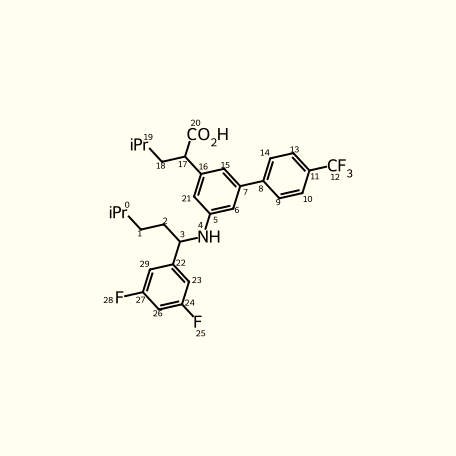 CC(C)CCC(Nc1cc(-c2ccc(C(F)(F)F)cc2)cc(C(CC(C)C)C(=O)O)c1)c1cc(F)cc(F)c1